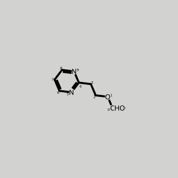 O=[C]OCCc1ncccn1